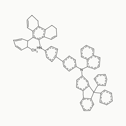 CC1C=CC=CC1c1c2c(c3c(c1Nc1ccc(-c4ccc(N(c5ccc6c(c5)C(c5ccccc5)(c5ccccc5)c5ccccc5-6)c5cccc6ccccc56)cc4)cc1)C=CCC3)CCC=C2